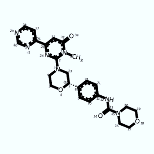 Cn1c(N2CCO[C@@H](c3ccc(NC(=O)N4CCOCC4)cc3)C2)nc(-c2ccncn2)cc1=O